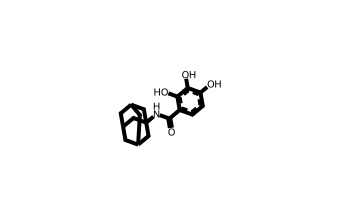 O=C(NC12CC3CC(CC(C3)C1)C2)c1ccc(O)c(O)c1O